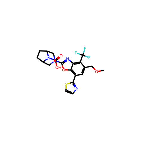 COCc1cc(-c2nccs2)c2oc(N3CC4CCC(C3)N4C(=O)O)nc2c1C(F)(F)F